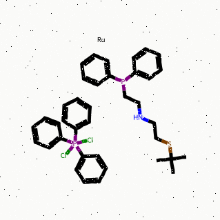 CC(C)(C)SCCNCCP(c1ccccc1)c1ccccc1.ClP(Cl)(c1ccccc1)(c1ccccc1)c1ccccc1.[Ru]